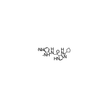 CNCc1cccc(CNCC(=O)C2NC=Cc3nc(C4CCCC4)[nH]c32)c1NC